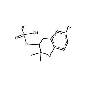 CC1(C)Oc2ccc(C#N)cc2CC1OP(=O)(O)O